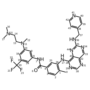 Cc1ccc(C(=O)Nc2cc(N(C)CCN(C)C)cc(C(F)(F)F)c2)cc1Nc1ncnc2cnc(NCc3ccncc3)nc12